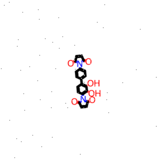 O=C1C=CC(=O)N1c1ccc(-c2ccc(N3C(=O)C=CC3=O)c(O)c2O)cc1